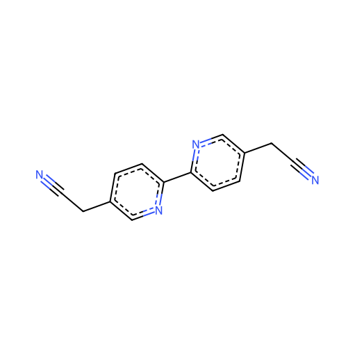 N#CCc1ccc(-c2ccc(CC#N)cn2)nc1